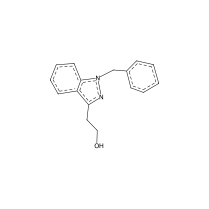 OCCc1nn(Cc2ccccc2)c2ccccc12